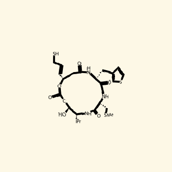 CSC[C@H]1NC(=O)[C@@H](Cc2ccsc2)NC(=O)C[C@@H](C=CCS)OC(=O)C[C@H](O)[C@@H](C(C)C)NC1=O